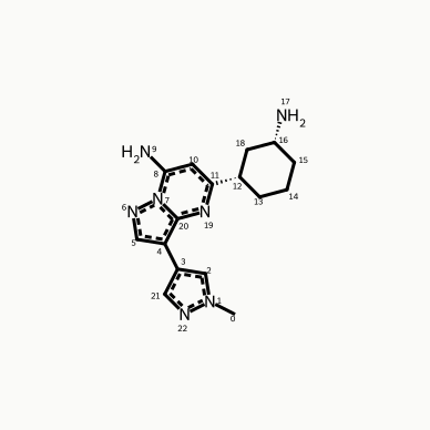 Cn1cc(-c2cnn3c(N)cc([C@H]4CCC[C@@H](N)C4)nc23)cn1